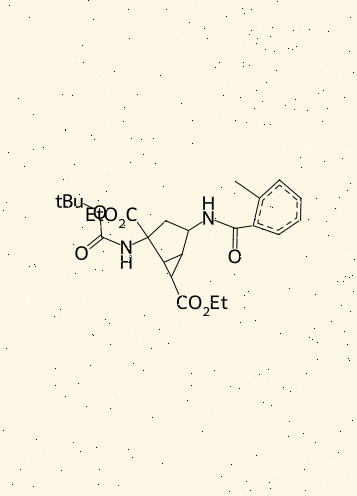 CCOC(=O)C1C2C(NC(=O)c3ccccc3C)CC(NC(=O)OC(C)(C)C)(C(=O)OCC)C12